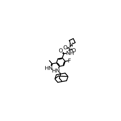 CC(=N)c1cc(C(=O)NS(=O)(=O)N2CCC2)c(F)cc1NC12CC3CC(CC(C3)C1)C2